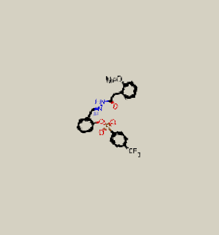 COc1ccccc1CC(=O)N/N=C/c1ccccc1OS(=O)(=O)c1ccc(C(F)(F)F)cc1